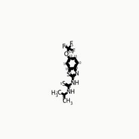 CC(C)NC(=S)Nc1nc2ccc(OC(F)(F)F)cc2s1